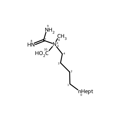 CCCCCCCCCCC[N+](C)(C(=N)N)C(=O)O